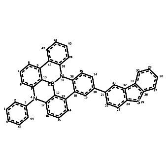 c1ccc(N2c3cccc4c3B3c5c(cccc52)-c2cc(-c5ccc6sc7ccccc7c6c5)ccc2N3c2ccccc2-4)cc1